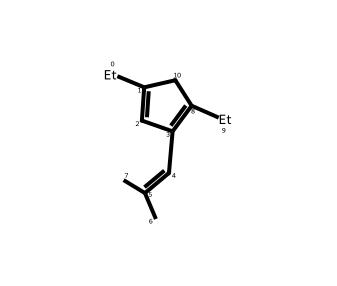 CCC1=CC(C=C(C)C)=C(CC)C1